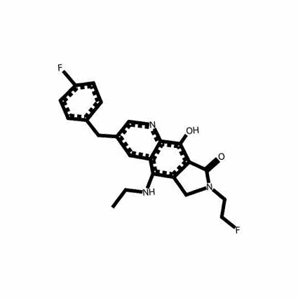 CCNc1c2c(c(O)c3ncc(Cc4ccc(F)cc4)cc13)C(=O)N(CCF)C2